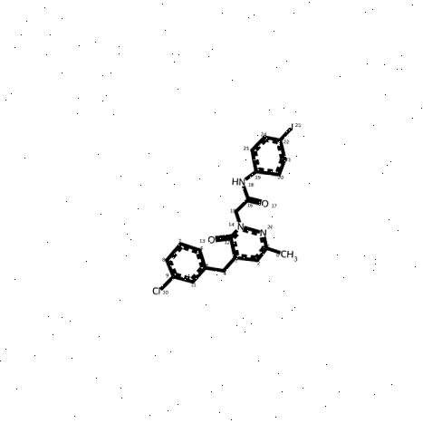 Cc1cc(Cc2cccc(Cl)c2)c(=O)n(CC(=O)Nc2ccc(I)cc2)n1